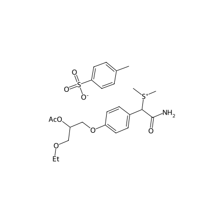 CCOCC(COc1ccc(C(C(N)=O)[S+](C)C)cc1)OC(C)=O.Cc1ccc(S(=O)(=O)[O-])cc1